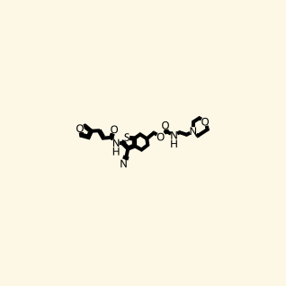 N#Cc1c(NC(=O)C=Cc2ccoc2)sc2c1CCC(COC(=O)NCCN1CCOCC1)C2